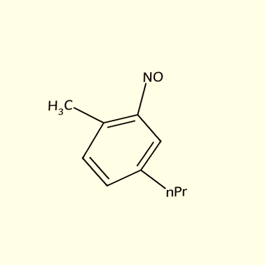 CCCc1ccc(C)c(N=O)c1